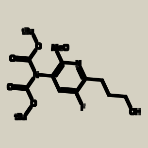 COc1nc(CCCO)c(F)cc1N(C(=O)OC(C)(C)C)C(=O)OC(C)(C)C